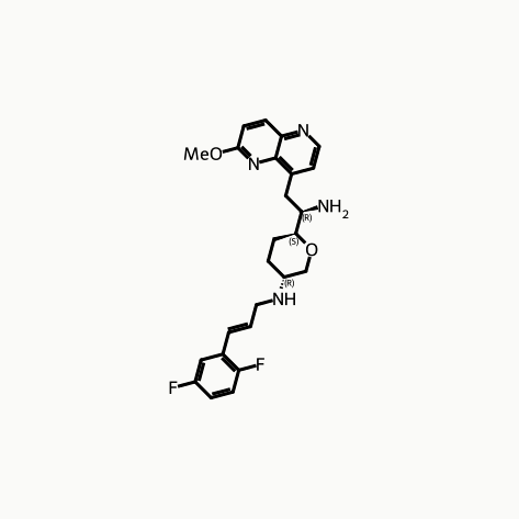 COc1ccc2nccc(C[C@@H](N)[C@@H]3CC[C@@H](NCC=Cc4cc(F)ccc4F)CO3)c2n1